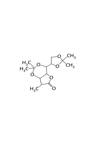 CC1C(=O)OC2C(C3COC(C)(C)O3)OC(C)(C)OC12